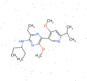 CCc1nc(-c2cnc(C(C)C)cc2OC)c(OC)nc1NC(CC)CC